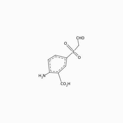 Nc1ccc(S(=O)(=O)CC=O)cc1C(=O)O